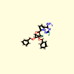 Nc1nc(F)nn2c(C3OC4C(OCc5ccccc5)C4(OCc4ccccc4)C3F)ccc12